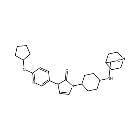 O=c1n(-c2ccc(OC3CCCC3)nc2)ccn1C1CCC(NC2CN3CCC2CC3)CC1